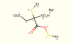 CCSOC(=O)C(CC(=O)[O-])(SCC)S(=O)(=O)O.[Na+]